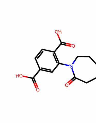 O=C(O)c1ccc(C(=O)O)c(N2CCCCCC2=O)c1